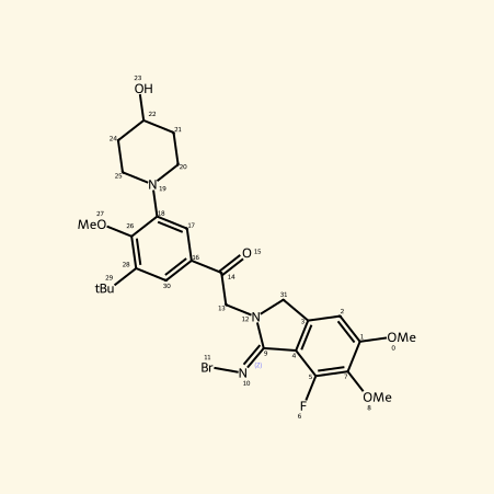 COc1cc2c(c(F)c1OC)/C(=N/Br)N(CC(=O)c1cc(N3CCC(O)CC3)c(OC)c(C(C)(C)C)c1)C2